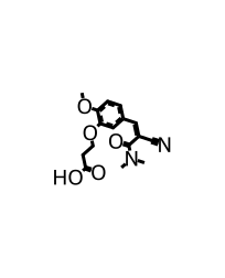 COc1ccc(C=C(C#N)C(=O)N(C)C)cc1OCCC(=O)O